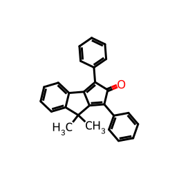 CC1(C)C2=C(c3ccccc3)C(=O)C(c3ccccc3)=C2c2ccccc21